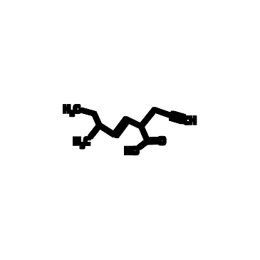 C#CCC(C=CC(C)CC)C(=O)O